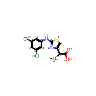 CC(C(=O)O)c1csc(Nc2cc(Cl)cc(Cl)c2)n1